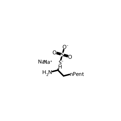 CCCCCCC(N)[SH-]S(=O)(=O)[O-].[Na+].[Na+]